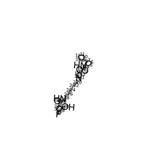 O=C(Nc1ccccc1-c1ccccc1)OC1CCN(CCCCCCCCCNCC(=O)c2ccc(F)cc2O)CC1